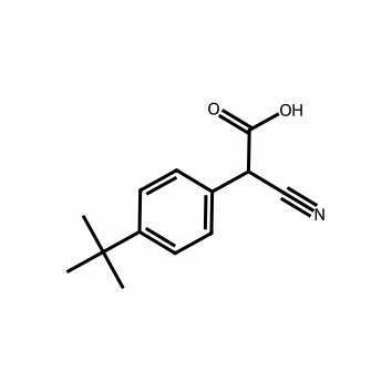 CC(C)(C)c1ccc(C(C#N)C(=O)O)cc1